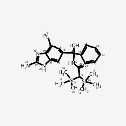 CC(C)c1cc(C(O)(NC(=O)C([Si](C)(C)C)[Si](C)(C)C)c2ccccc2)cc2[nH]c(N)nc12